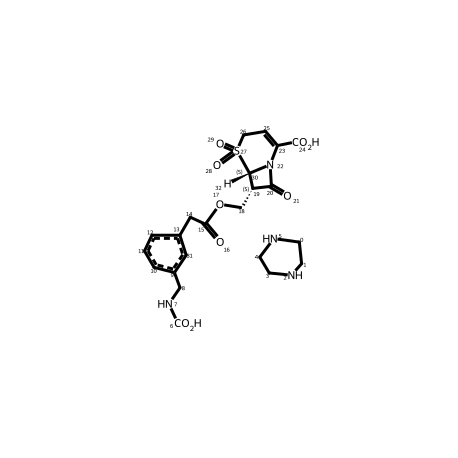 C1CNCCN1.O=C(O)NCc1cccc(CC(=O)OC[C@H]2C(=O)N3C(C(=O)O)=CCS(=O)(=O)[C@@H]23)c1